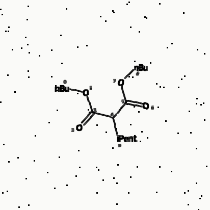 CCCCOC(=O)C(C(=O)OCCCC)C(C)CCC